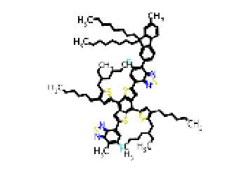 CCCCCCCCC1(CCCCCCCC)c2cc(C)ccc2-c2ccc(-c3c(F)cc(-c4cc5c(-c6cc(CCCCCC)c(CC(CC)CCCC)s6)c6sc(-c7cc(F)c(C)c8nsnc78)cc6c(-c6cc(CCCCCC)c(CC(CC)CCCC)s6)c5s4)c4nsnc34)cc21